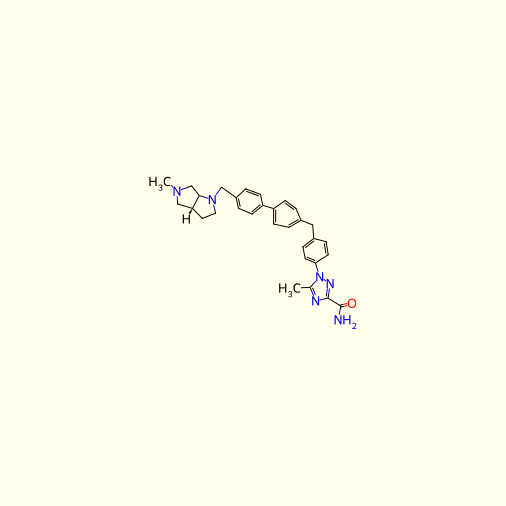 Cc1nc(C(N)=O)nn1-c1ccc(Cc2ccc(-c3ccc(CN4CC[C@@H]5CN(C)CC54)cc3)cc2)cc1